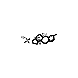 Cc1ccc2c(c1)C[C@@]1(O)CC[C@]3(C)[C@@H](O[Si](C)(C)C(C)(C)C)CC[C@H]3[C@@]1(O)CC2